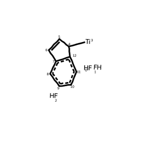 F.F.F.[Ti][CH]1C=Cc2ccccc21